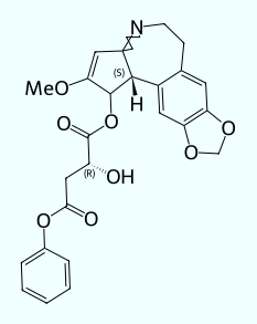 COC1=CC23CCCN2CCc2cc4c(cc2[C@@H]3C1OC(=O)[C@H](O)CC(=O)Oc1ccccc1)OCO4